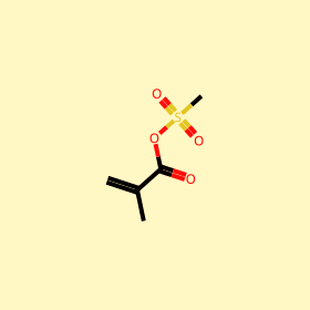 C=C(C)C(=O)OS(C)(=O)=O